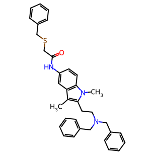 Cc1c(CCN(Cc2ccccc2)Cc2ccccc2)n(C)c2ccc(NC(=O)CSCc3ccccc3)cc12